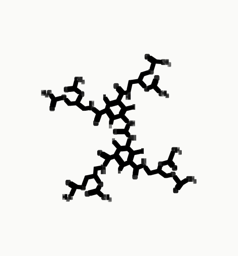 CC(=O)OCC(CNC(=O)c1c(I)c(NC(=O)Nc2c(I)c(C(=O)NCC(COC(C)=O)OC(C)=O)c(I)c(C(=O)NCC(COC(C)=O)OC(C)=O)c2I)c(I)c(C(=O)NCC(COC(C)=O)OC(C)=O)c1I)OC(C)=O